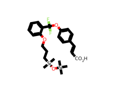 C[Si](C)(C)O[Si](C)(C)CCCOc1ccccc1C(F)(F)Oc1ccc(C=CC(=O)O)cc1